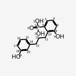 O=P(O)(O)c1cccc(O)c1CCCc1cccc(O)c1